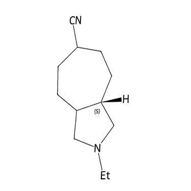 CCN1CC2CCC(C#N)CC[C@@H]2C1